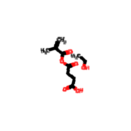 C=C(C)C(=O)OC(=O)CCC(=O)O.CCO